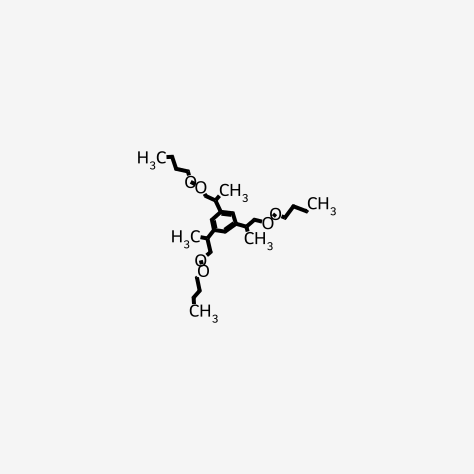 CCCCOOCC(C)c1cc(C(C)COOCCCC)cc(C(C)COOCCCC)c1